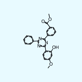 COC(=O)c1cccc(-c2nc(-c3ccccc3)nc(-c3ccc(OC)cc3O)n2)c1